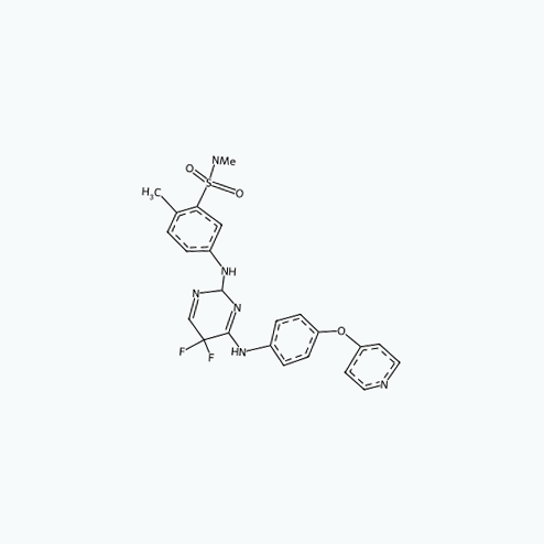 CNS(=O)(=O)c1cc(NC2N=CC(F)(F)C(Nc3ccc(Oc4ccncc4)cc3)=N2)ccc1C